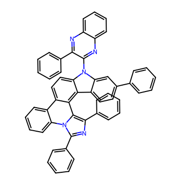 c1ccc(-c2ccc3c4c5c(ccc4n(-c4nc6ccccc6nc4-c4ccccc4)c3c2)c2ccccc2n2c(-c3ccccc3)nc(-c3ccccc3)c52)cc1